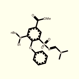 CCCCN(CC)c1cc(C(=O)OC)cc(S(=O)(=O)N=CN(C)C)c1Oc1ccccc1